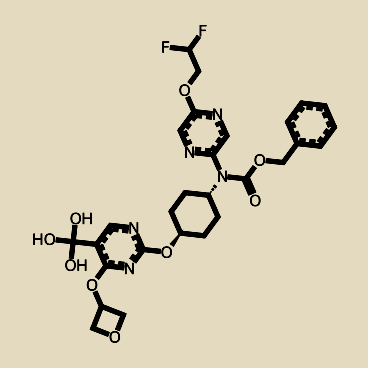 O=C(OCc1ccccc1)N(c1cnc(OCC(F)F)cn1)[C@H]1CC[C@H](Oc2ncc(C(O)(O)O)c(OC3COC3)n2)CC1